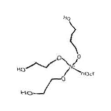 CCCCCCCC[N+](OCCO)(OCCO)OCCO